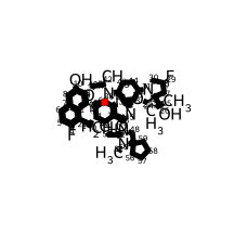 C#Cc1c(F)ccc2cc(O)cc([C@H]3CCc4c(nc(OC[C@]5(C(C)(C)O)C[C@@H](F)CN5C5CCC(N6CCOC[C@@H]6C)CC5)nc4NCC4(N(C)C(=O)C=C)CCCC4)C3)c12